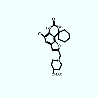 CC(=O)NC1CCN(Cc2cc3cc(Cl)c4c(c3o2)C2(CCCCC2)NC(=O)N4)CC1